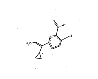 C/C=C(/c1ccc(Cl)c([N+](=O)[O-])c1)C1CC1